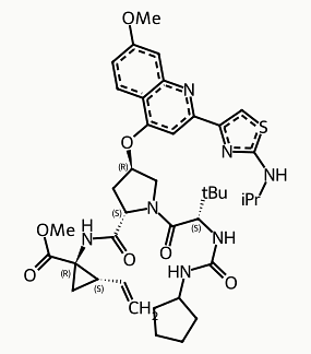 C=C[C@@H]1C[C@]1(NC(=O)[C@@H]1C[C@@H](Oc2cc(-c3csc(NC(C)C)n3)nc3cc(OC)ccc23)CN1C(=O)[C@@H](NC(=O)NC1CCCC1)C(C)(C)C)C(=O)OC